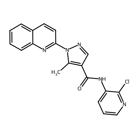 Cc1c(C(=O)Nc2cccnc2Cl)cnn1-c1ccc2ccccc2n1